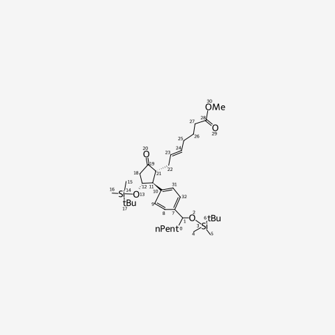 CCCCCC(O[Si](C)(C)C(C)(C)C)c1ccc([C@H]2[C@H](O[Si](C)(C)C(C)(C)C)CC(=O)[C@@H]2CC=CCCCC(=O)OC)cc1